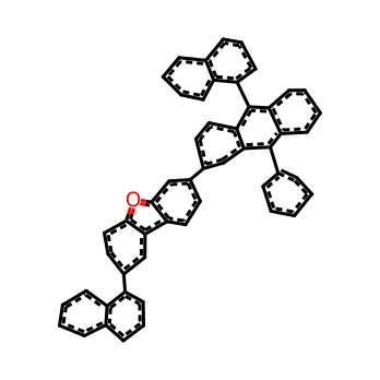 c1ccc(-c2c3ccccc3c(-c3cccc4ccccc34)c3ccc(-c4ccc5c(c4)oc4ccc(-c6cccc7ccccc67)cc45)cc23)cc1